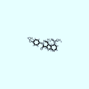 COc1ccc(-n2ncc3c(sc4nccc(N(C)N)c43)c2=O)cc1